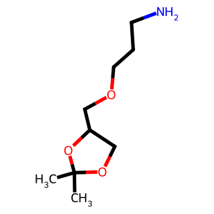 CC1(C)OCC(COCCCN)O1